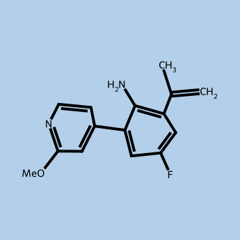 C=C(C)c1cc(F)cc(-c2ccnc(OC)c2)c1N